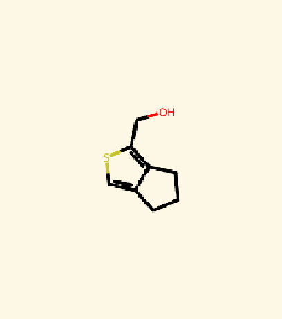 OCc1scc2c1CCC2